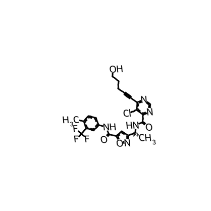 Cc1ccc(NC(=O)c2cc([C@@H](C)NC(=O)c3ncnc(C#CCCCO)c3Cl)no2)cc1C(F)(F)F